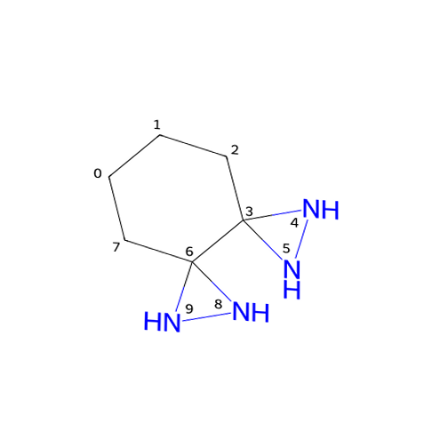 C1CCC2(NN2)C2(C1)NN2